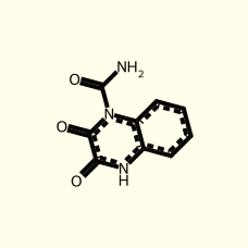 NC(=O)n1c(=O)c(=O)[nH]c2ccccc21